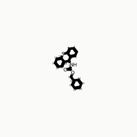 O=C(NC1c2ccccc2Sc2ccccc21)OCc1ccccc1